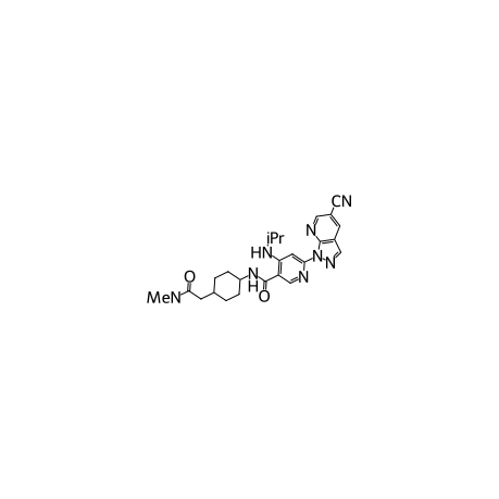 CNC(=O)CC1CCC(NC(=O)c2cnc(-n3ncc4cc(C#N)cnc43)cc2NC(C)C)CC1